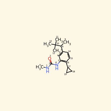 CNC(=O)Nc1cc(C(C)C(C)(C)C)ccc1C1CC1